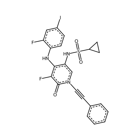 O=c1c(F)c(Nc2ccc(I)cc2F)c(NS(=O)(=O)C2CC2)cn1C#Cc1ccccc1